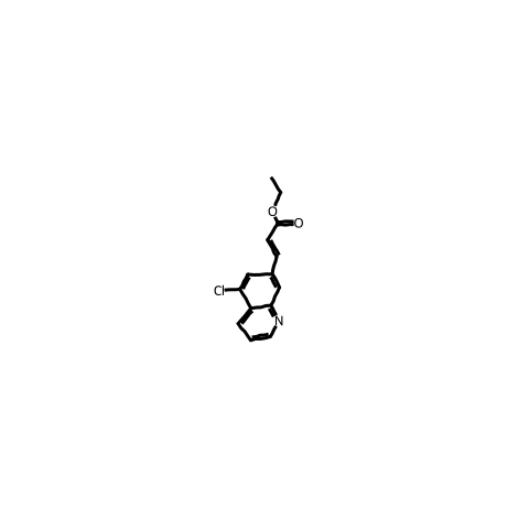 CCOC(=O)/C=C/c1cc(Cl)c2cccnc2c1